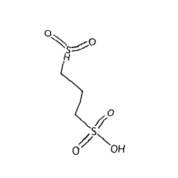 O=[SH](=O)CCCS(=O)(=O)O